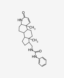 CC12C=CC(=O)NC1CCC1C2CCC2(C)C(CNC(=O)Nc3ccccc3)CCC12